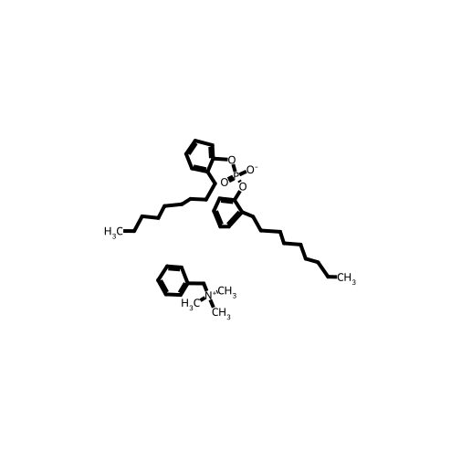 CCCCCCCCCc1ccccc1OP(=O)([O-])Oc1ccccc1CCCCCCCCC.C[N+](C)(C)Cc1ccccc1